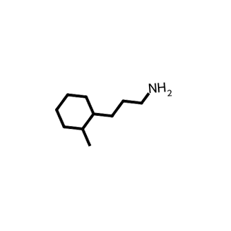 CC1CCCCC1CCCN